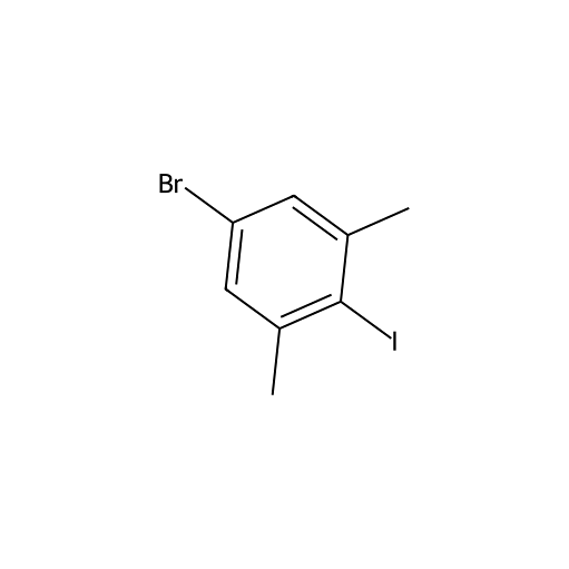 Cc1cc(Br)cc(C)c1I